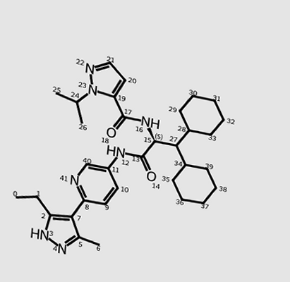 CCc1[nH]nc(C)c1-c1ccc(NC(=O)[C@@H](NC(=O)c2ccnn2C(C)C)C(C2CCCCC2)C2CCCCC2)cn1